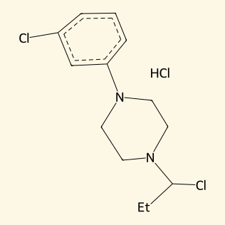 CCC(Cl)N1CCN(c2cccc(Cl)c2)CC1.Cl